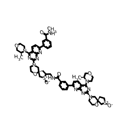 CNC(=O)c1cccc(-c2ccc3c(N4CCOC[C@@H]4C)nc(N4CCO[C@@]5(CC(CNC(=O)c6cccc(-c7ccc8c(N9CCOC[C@@H]9C)nc(N9CCO[C@]%10(CC[S+]([O-])C%10)C9)nc8n7)c6)[S+]([O-])C5)C4)nc3n2)c1